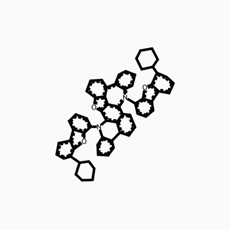 c1ccc2c(c1)-c1cccc3c1c(c1oc4cccc5c6ccccc6n(-c6cccc7c6oc6c(C8CCCCC8)cccc67)c3c1c45)N2c1cccc2c1oc1c(C3CCCCC3)cccc12